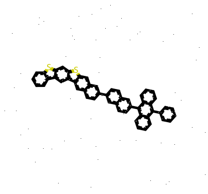 c1ccc(-c2c3ccccc3c(-c3ccc4cc(-c5ccc6cc7c(cc6c5)sc5cc6sc8ccccc8c6cc57)ccc4c3)c3ccccc23)cc1